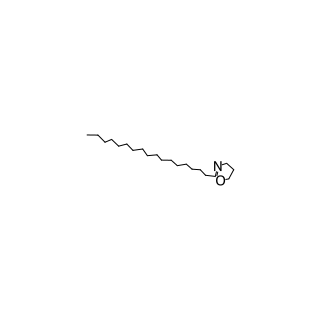 CCCCCCCCCCCCCCCCCC1=NCCCO1